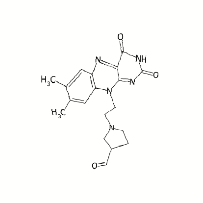 Cc1cc2nc3c(=O)[nH]c(=O)nc-3n(CCN3CCC(C=O)C3)c2cc1C